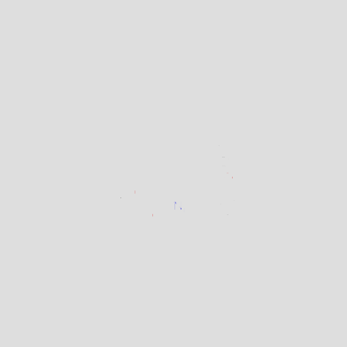 CC(C)(C)OC(=O)C/N=C/CC1(CO[Si](C)(C)C(C)(C)C)CC1